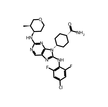 C[C@H]1COCC[C@H]1Nc1ncc2nc(Nc3c(F)cc(Cl)cc3F)n([C@H]3CC[C@@H](C(N)=O)CC3)c2n1